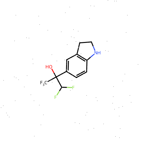 OC(c1ccc2c(c1)CCN2)(C(F)F)C(F)(F)F